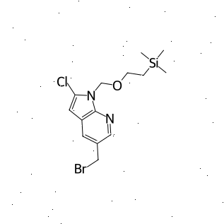 C[Si](C)(C)CCOCn1c(Cl)cc2cc(CBr)cnc21